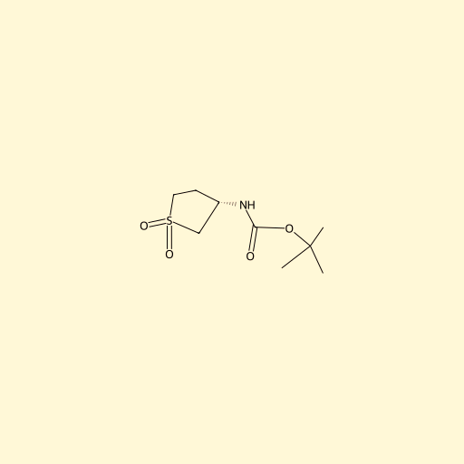 CC(C)(C)OC(=O)N[C@H]1CCS(=O)(=O)C1